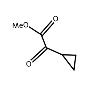 COC(=O)C(=O)C1CC1